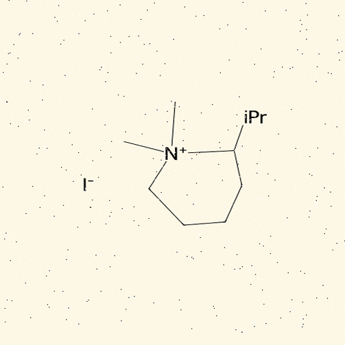 CC(C)C1CCCC[N+]1(C)C.[I-]